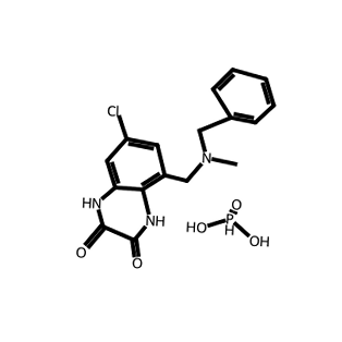 CN(Cc1ccccc1)Cc1cc(Cl)cc2[nH]c(=O)c(=O)[nH]c12.O=[PH](O)O